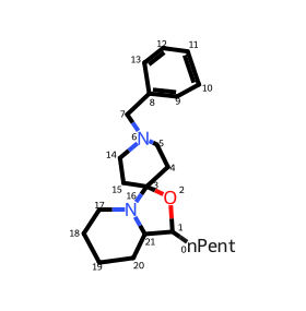 CCCCCC1OC2(CCN(Cc3ccccc3)CC2)N2CCCCC12